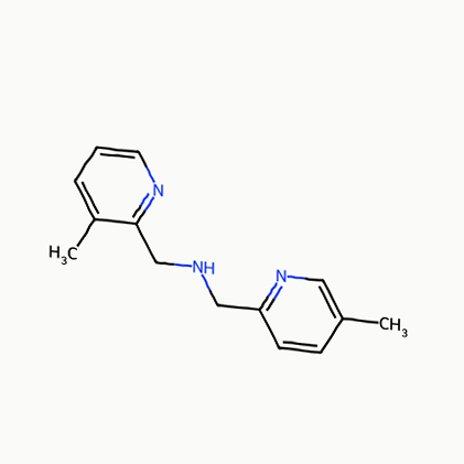 Cc1ccc(CNCc2ncccc2C)nc1